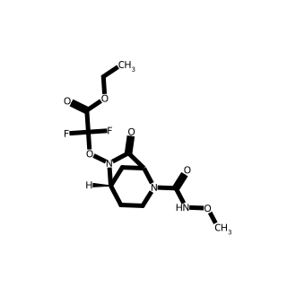 CCOC(=O)C(F)(F)ON1C(=O)C2C[C@@H]1CCN2C(=O)NOC